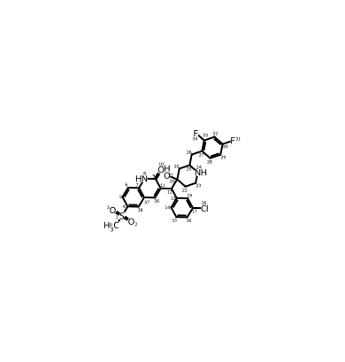 CS(=O)(=O)c1ccc2[nH]c(=O)c(C(c3cccc(Cl)c3)C3(O)CCNC(Cc4ccc(F)cc4F)C3)cc2c1